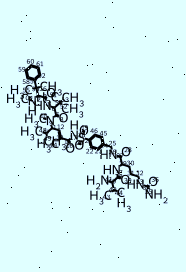 CNC(C(=O)NC(C(=O)N(C)C(C=C(C)C(=O)NS(=O)(=O)c1ccc(CNC(=O)C(CCCNC(N)=O)NC(=O)C(N)C(C)C)cc1)C(C)C)C(C)(C)C)C(C)(C)c1ccccc1